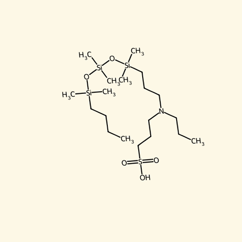 CCCC[Si](C)(C)O[Si](C)(C)O[Si](C)(C)CCCN(CCC)CCCS(=O)(=O)O